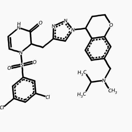 CC(C)N(C)Cc1ccc2c(c1)OCCC2n1cc(CC2C(=O)NC=CN2S(=O)(=O)c2cc(Cl)cc(Cl)c2)nn1